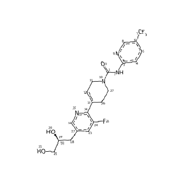 O=C(Nc1ccc(C(F)(F)F)cn1)N1CC=C(c2ncc(C[C@H](O)CO)cc2F)CC1